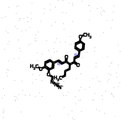 CCCCC(C(=O)/C=C/c1ccc(OC)cc1)C(=O)/C=C/c1ccc(OC)c(OCN=[N+]=[N-])c1